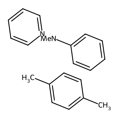 CNc1ccccc1.Cc1ccc(C)cc1.c1ccncc1